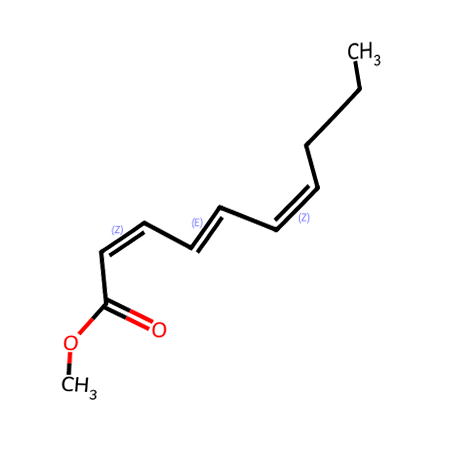 CCC\C=C/C=C/C=C\C(=O)OC